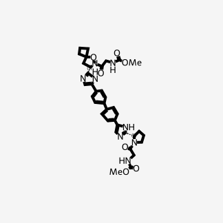 COC(=O)NCC(=O)N1CCC[C@H]1c1ncc(-c2ccc(-c3ccc(-c4cnc([C@@H]5CC6(CCC6)ON5C(=O)CNC(=O)OC)[nH]4)cc3)cc2)[nH]1